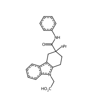 CCCC1(C(=O)Nc2ccccc2)CCc2c(c3ccccc3n2CC(=O)O)C1